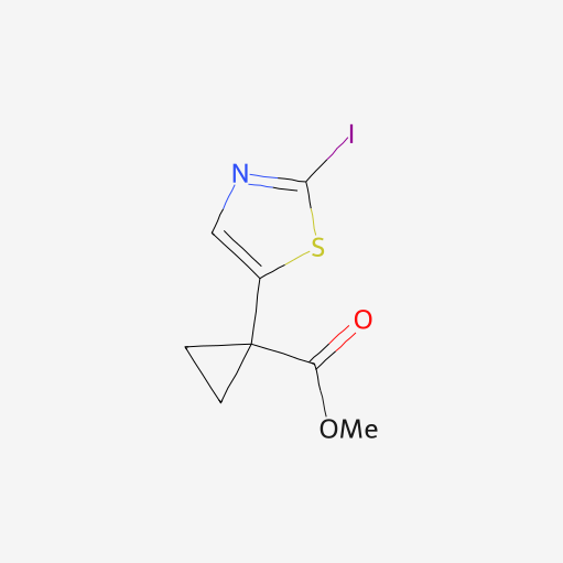 COC(=O)C1(c2cnc(I)s2)CC1